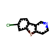 Clc1ccc2c(c1)sc1ccncc12